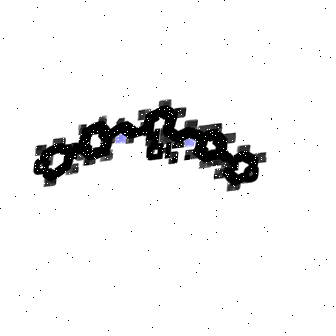 C[n+]1c(/C=C/c2ccc(N3CCOCC3)cc2)cccc1/C=C/c1ccc(N2CCOCC2)cc1